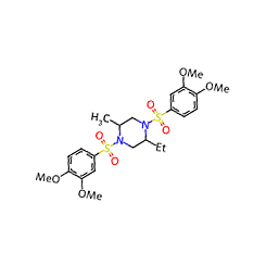 CCC1CN(S(=O)(=O)c2ccc(OC)c(OC)c2)C(C)CN1S(=O)(=O)c1ccc(OC)c(OC)c1